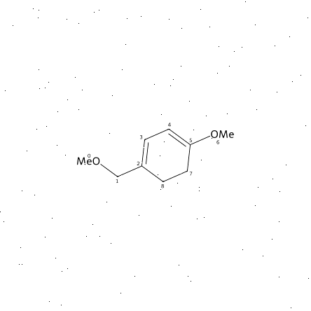 COCC1=CC=C(OC)CC1